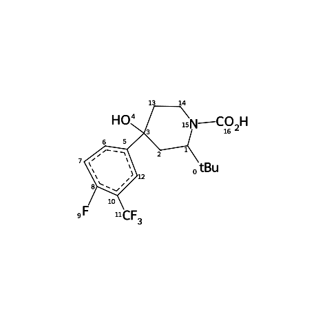 CC(C)(C)C1CC(O)(c2ccc(F)c(C(F)(F)F)c2)CCN1C(=O)O